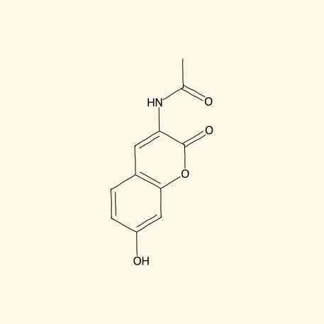 CC(=O)Nc1cc2ccc(O)cc2oc1=O